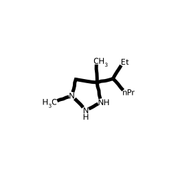 CCCC(CC)C1(C)CN(C)NN1